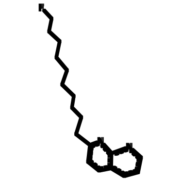 FCCCCCCCCCCc1ccc2cccnc2n1